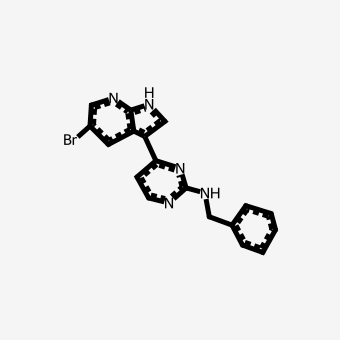 Brc1cnc2[nH]cc(-c3ccnc(NCc4ccccc4)n3)c2c1